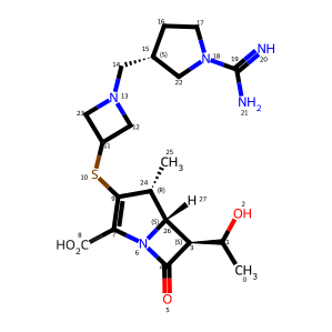 CC(O)[C@H]1C(=O)N2C(C(=O)O)=C(SC3CN(C[C@@H]4CCN(C(=N)N)C4)C3)[C@H](C)[C@H]12